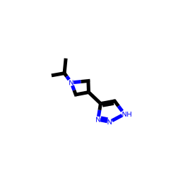 CC(C)N1CC(c2c[nH]nn2)C1